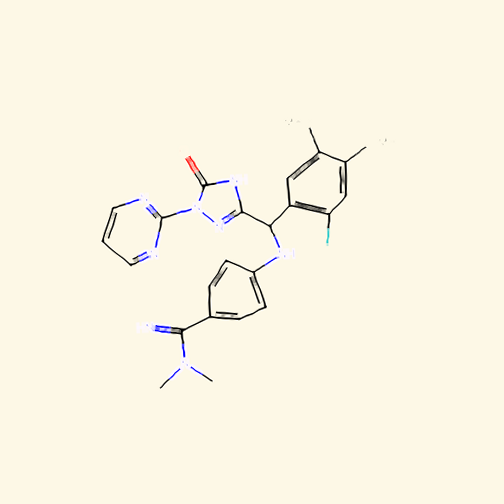 COc1cc(F)c(C(Nc2ccc(C(=N)N(C)C)cc2)c2nn(-c3ncccn3)c(=O)[nH]2)cc1OC